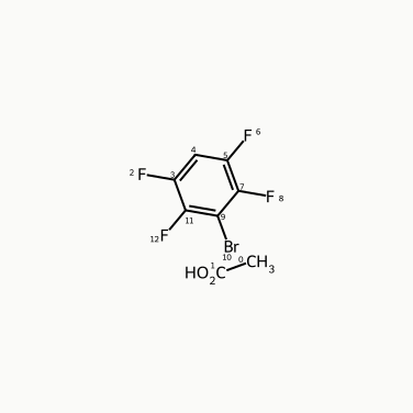 CC(=O)O.Fc1cc(F)c(F)c(Br)c1F